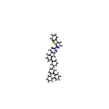 c1cc(-c2ccc3c4ccccc4c4ccccc4c3c2)cc(-c2cccc3c2Cc2nc(-c4nccc5c4sc4ccccc45)ccc2-3)c1